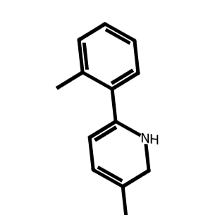 CC1=CC=C(c2ccccc2C)NC1